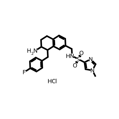 Cl.Cn1cnc(S(=O)(=O)NCc2ccc3c(c2)C(Cc2ccc(F)cc2)C(N)CC3)c1